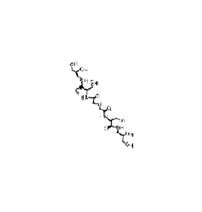 O=C(COCC(=S)NC(CS)C(=O)NCC(O)CO)NC(CS)C(=O)NCC(O)CO